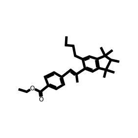 CCCCc1cc2c(cc1C(C)=Cc1ccc(C(=O)OCC)cc1)C(C)(C)C(C)C2(C)C